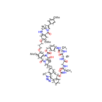 COc1ccc(C2=CN3C(=O)c4cc(OC)c(OCCCOc5cc6c(cc5OC)C(=O)N5CC7(CC7)C[C@H]5C(O)N6C(=O)OCc5ccc(NC(=O)[C@H](C)NC(=O)[C@@H](NC(=O)CNC(=O)C(C)NC(=O)OC6Cc7ccccc7-c7c(nnn7C(C)C)-c7ccccc76)C(C)C)cc5)cc4NC[C@@H]3C2)cc1